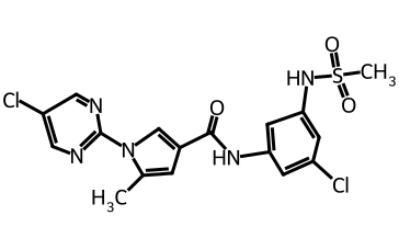 Cc1cc(C(=O)Nc2cc(Cl)cc(NS(C)(=O)=O)c2)cn1-c1ncc(Cl)cn1